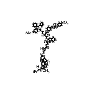 COc1ccc(N(CCCC[C@H](NC(=O)C[C@H](Cc2ccccc2)NC(=O)CCC(=O)NCCCO[C@H]2CC[C@@]3(C)C(=CC[C@H]4[C@@H]5CC[C@H]([C@H](C)CCCC(C)C)[C@@]5(C)CC[C@@H]43)C2)C(=O)Nc2ccc(COC(=O)Oc3ccc([N+](=O)[O-])cc3)cc2)C(c2ccccc2)c2ccccc2)cc1